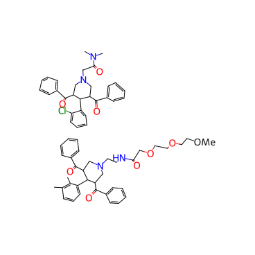 CN(C)C(=O)CN1CC(C(=O)c2ccccc2)C(c2ccccc2Cl)C(C(=O)c2ccccc2)C1.COCCOCCOCC(=O)NCCN1CC(C(=O)c2ccccc2)C(c2cccc(C)c2C)C(C(=O)c2ccccc2)C1